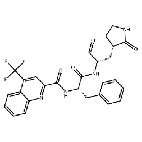 O=C[C@H](C[C@@H]1CCNC1=O)NC(=O)[C@H](Cc1ccccc1)NC(=O)c1cc(C(F)(F)F)c2ccccc2n1